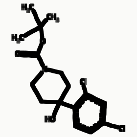 CC(C)(C)OC(=O)N1CCC(O)(c2ccc(Cl)cc2Cl)CC1